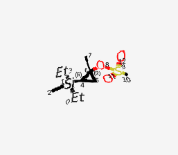 CC[Si](C)(CC)[C@@H]1C[C@@]1(C)OS(C)(=O)=O